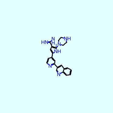 N=C(N)c1cc(-c2ccnc(-c3cnc4ccccc4c3)c2)[nH]c1N1CCNCC1